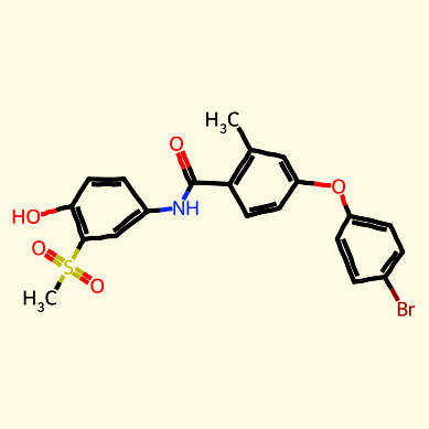 Cc1cc(Oc2ccc(Br)cc2)ccc1C(=O)Nc1ccc(O)c(S(C)(=O)=O)c1